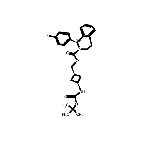 CC(C)(C)OC(=O)N[C@H]1C[C@@H](COC(=O)N2CCc3ccccc3[C@@H]2c2ccc(F)cc2)C1